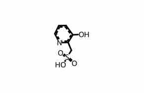 O=S(=O)(O)Cc1ncccc1O